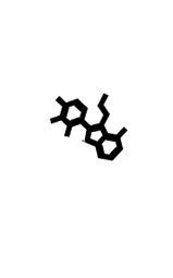 CCCC1=C(c2ccc(C)c(C)c2C)[CH]c2cccc(C)c21